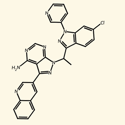 CC(c1nn(-c2cccnc2)c2cc(Cl)ccc12)n1nc(-c2cnc3ccccc3c2)c2c(N)ncnc21